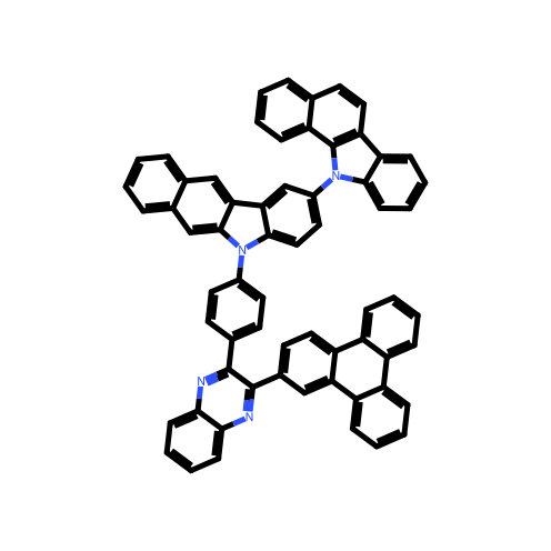 c1ccc2cc3c(cc2c1)c1cc(-n2c4ccccc4c4ccc5ccccc5c42)ccc1n3-c1ccc(-c2nc3ccccc3nc2-c2ccc3c4ccccc4c4ccccc4c3c2)cc1